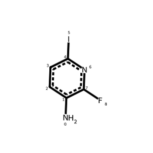 Nc1ccc(I)nc1F